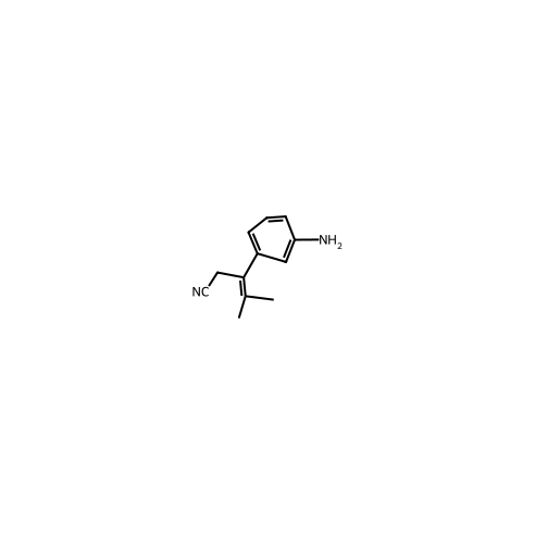 CC(C)=C(CC#N)c1cccc(N)c1